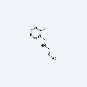 CC(=O)C=CNCc1ccccc1C